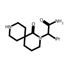 CC(C)C(C(N)=O)N1CCCC2(CCNCC2)C1=O